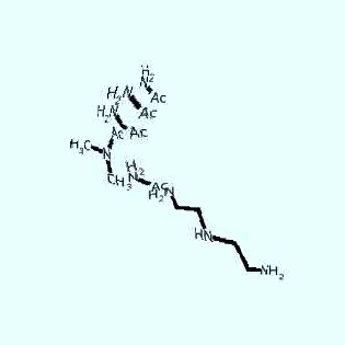 CC(=O)N(C)C.CC(N)=O.CC(N)=O.CC(N)=O.CC(N)=O.NCCNCCN